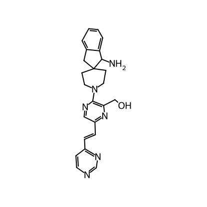 NC1c2ccccc2CC12CCN(c1ncc(C=Cc3ccncn3)nc1CO)CC2